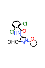 O=Cc1nn(C2CCCCO2)cc1NC(=O)c1c(Cl)cccc1Cl